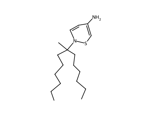 CCCCCCC(C)(CCCCCC)N1C=CC(N)=CS1